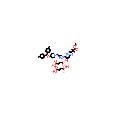 CCOC(=O)C(C)(C)c1cn2nc(NCCCN3CCC(OC(c4ccc(C)cc4)c4ccc(C)cc4)CC3)ccc2n1.O=C(O)C=CC(=O)O.O=C(O)C=CC(=O)O